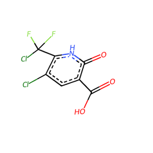 O=C(O)c1cc(Cl)c(C(F)(F)Cl)[nH]c1=O